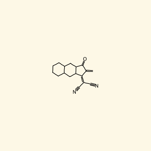 C=C1C(=O)C2CC3CCCCC3CC2C1=C(C#N)C#N